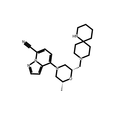 C[C@@H]1CN(c2ccc(C#N)n3nccc23)C[C@H](CN2CCC3(CCCCN3)CC2)O1